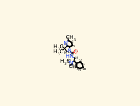 Cc1ccc2c(n1)C(C)(C)CN2C(=O)NCC(c1ccccc1)N(C)C